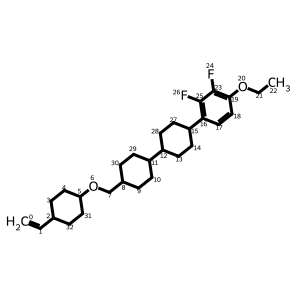 C=CC1CCC(OCC2CCC(C3CCC(c4ccc(OCC)c(F)c4F)CC3)CC2)CC1